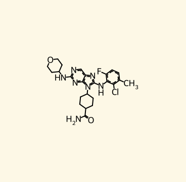 Cc1ccc(F)c(Nc2nc3cnc(NC4CCOCC4)nc3n2C2CCC(C(N)=O)CC2)c1Cl